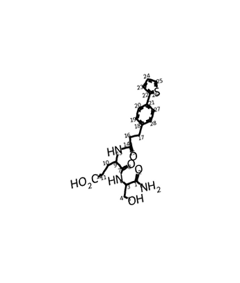 NC(=O)C(CO)NC(=O)C(CCC(=O)O)NC(=O)CCc1ccc(-c2cccs2)cc1